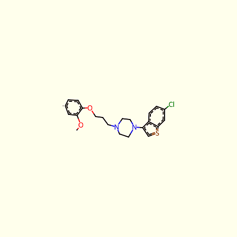 COc1c[c]ccc1OCCCN1CCN(c2csc3cc(Cl)ccc23)CC1